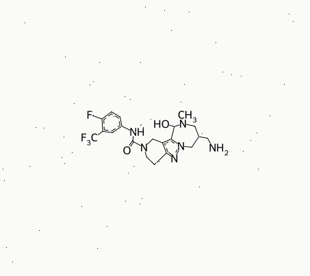 CN1CC(CN)Cn2nc3c(c2C1O)CN(C(=O)Nc1ccc(F)c(C(F)(F)F)c1)CC3